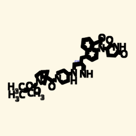 CC(C)(C)OC(=O)N1CC2CC(C(=O)N3CCC(N/C=C(\C=N)Cc4ccc5c6c(cccc46)C(=O)N5C4CCC(=O)NC4=O)CC3)(C2)C1